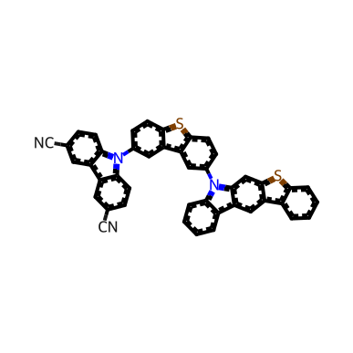 N#Cc1ccc2c(c1)c1cc(C#N)ccc1n2-c1ccc2sc3ccc(-n4c5ccccc5c5cc6c(cc54)sc4ccccc46)cc3c2c1